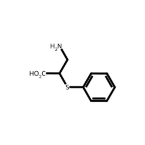 NCC(Sc1ccccc1)C(=O)O